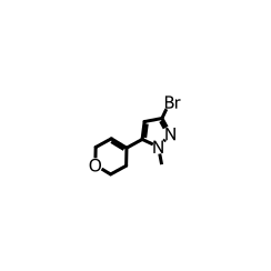 Cn1nc(Br)cc1C1=CCOCC1